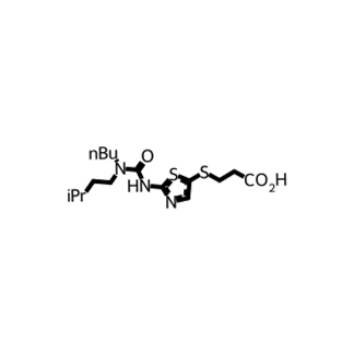 CCCCN(CCC(C)C)C(=O)Nc1ncc(SCCC(=O)O)s1